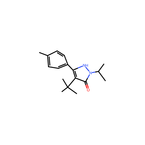 Cc1ccc(-c2[nH]n(C(C)C)c(=O)c2C(C)(C)C)cc1